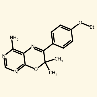 CCOc1ccc(C2=Nc3c(N)ncnc3OC2(C)C)cc1